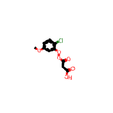 COc1ccc(Cl)c(OOC(=O)CC(=O)O)c1